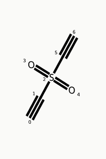 C#CS(=O)(=O)C#C